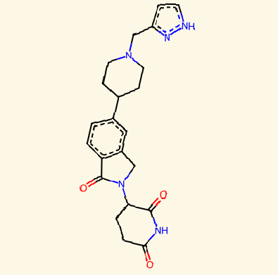 O=C1CCC(N2Cc3cc(C4CCN(Cc5cc[nH]n5)CC4)ccc3C2=O)C(=O)N1